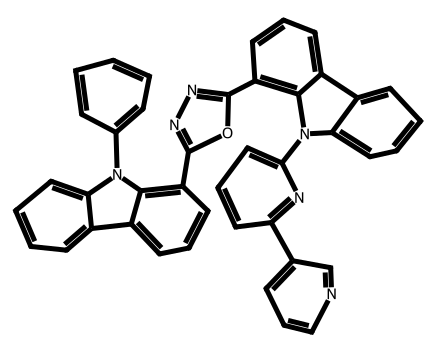 c1ccc(-n2c3ccccc3c3cccc(-c4nnc(-c5cccc6c7ccccc7n(-c7cccc(-c8cccnc8)n7)c56)o4)c32)cc1